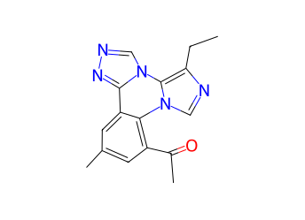 CCc1ncn2c3c(C(C)=O)cc(C)cc3c3nncn3c12